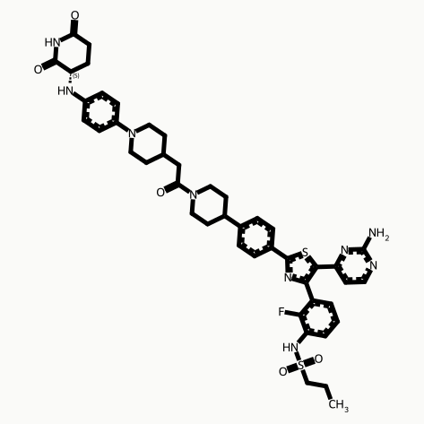 CCCS(=O)(=O)Nc1cccc(-c2nc(-c3ccc(C4CCN(C(=O)CC5CCN(c6ccc(N[C@H]7CCC(=O)NC7=O)cc6)CC5)CC4)cc3)sc2-c2ccnc(N)n2)c1F